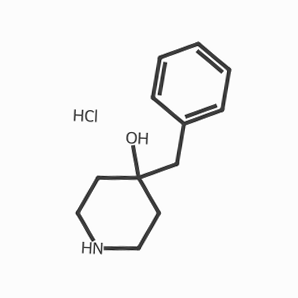 Cl.OC1(Cc2ccccc2)CCNCC1